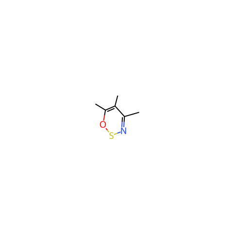 CC1=NSOC(C)=C1C